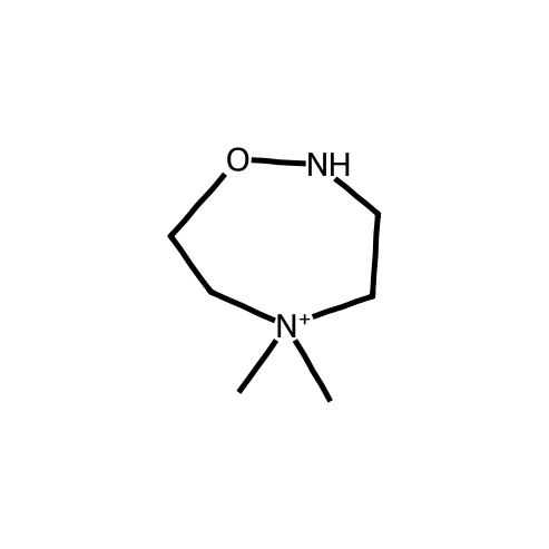 C[N+]1(C)CCNOCC1